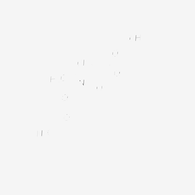 CCOCC(C=O)C(=O)N(CCC(=O)OCC)C(C)C